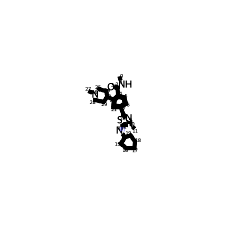 CNC(=O)c1ccc(-c2nn(C)/c(=N\C3CCCCC3)s2)cc1C1CCN(C)CC1